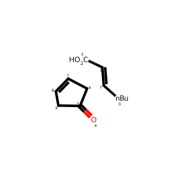 CCCCC=CC(=O)O.O=C1CC=CC1